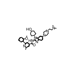 COc1ccccc1-c1cc(C(=O)Nc2nc3ccc(N4CCN(CCN(C)C)CC4)cc3n2[C@H]2CC[C@@H](O)CC2)cc(C)n1